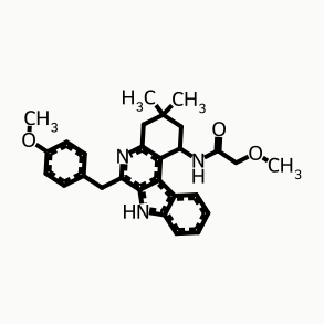 COCC(=O)NC1CC(C)(C)Cc2nc(Cc3ccc(OC)cc3)c3[nH]c4ccccc4c3c21